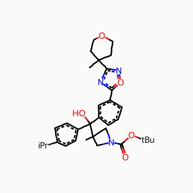 CC(C)c1ccc(C(O)(c2cccc(-c3nc(C4(C)CCOCC4)no3)c2)C2(C)CN(C(=O)OC(C)(C)C)C2)cc1